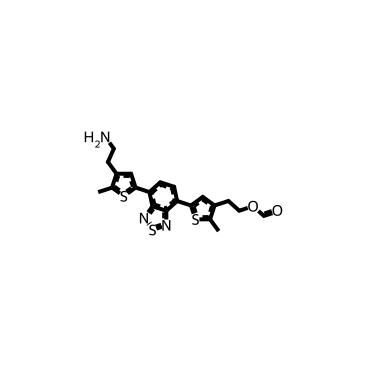 Cc1sc(-c2ccc(-c3cc(CCOC=O)c(C)s3)c3nsnc23)cc1CCN